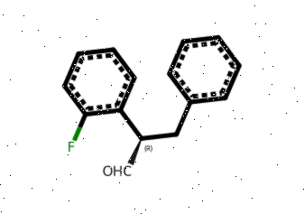 O=C[C@H](Cc1ccccc1)c1ccccc1F